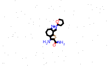 NC(=O)c1sc2c(c1N)CCCc1nn(C3CCCCO3)cc1-2